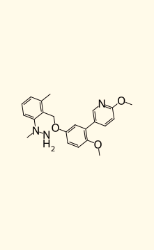 COc1ccc(-c2cc(OCc3c(C)cccc3N(C)N)ccc2OC)cn1